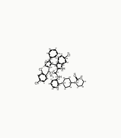 C[C@@H](c1ccc(Cl)cc1Cl)n1cnc(-c2ccccc2)c1-c1c(C(=O)Nc2cccnc2N2CCC(N3CCCOC3=O)CC2)[nH]c2cc(Cl)ccc12